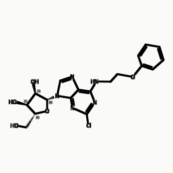 OC[C@H]1O[C@@H](n2cnc3c(NCCOc4ccccc4)nc(Cl)nc32)[C@H](O)[C@@H]1O